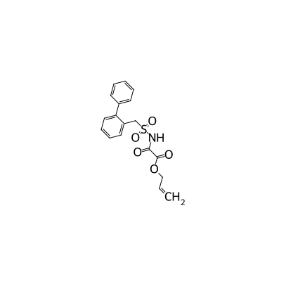 C=CCOC(=O)C(=O)NS(=O)(=O)Cc1ccccc1-c1ccccc1